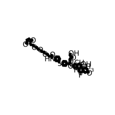 C[C@@]12C[C@H](O[C@H](OCC(=O)CO)c3ccc(Sc4cccc(NC(=O)CCOCCOCCOCCN5C(=O)C=CC5=O)c4)cc3)C[C@H]1[C@@H]1C[C@H](F)C3=CC(=O)C=C[C@]3(C)[C@@]1(F)[C@@H](O)C2